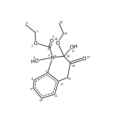 CCOC(=O)[N+]1(O)c2ccccc2CC(=O)C1(O)OCC